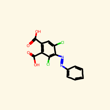 O=C(O)c1cc(Cl)c(N=Nc2ccccc2)c(Cl)c1C(=O)O